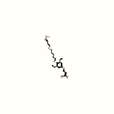 CCc1cc(OCC=C(Cl)Cl)cc(CC)c1OCCCCCOCC/C=N/O